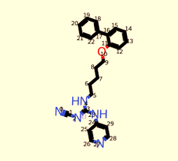 N#C/N=C(\NCCCCCOc1ccccc1-c1ccccc1)Nc1ccncc1